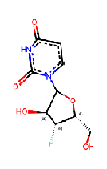 O=c1ccn(C2O[C@H](CO)[C@H](F)[C@H]2O)c(=O)[nH]1